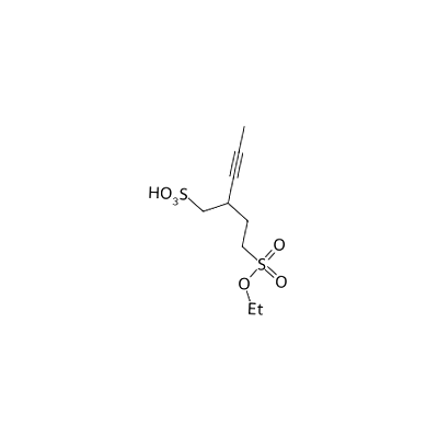 CC#CC(CCS(=O)(=O)OCC)CS(=O)(=O)O